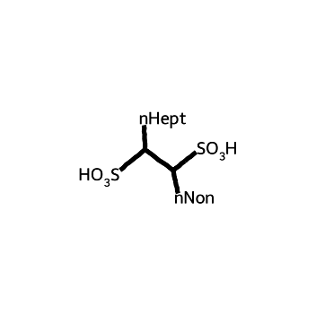 CCCCCCCCCC(C(CCCCCCC)S(=O)(=O)O)S(=O)(=O)O